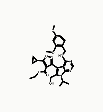 CCOC(=O)c1c(-c2c(CO)n(C(C)C)c3ncnc(NCc4ccc(OC)cc4OC)c23)noc1C1CC1